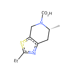 CCc1nc2c(s1)CN(C(=O)O)[C@H](C)C2